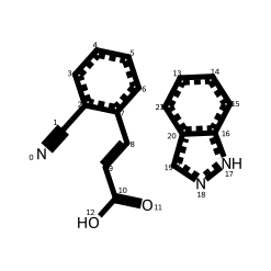 N#Cc1ccccc1/C=C/C(=O)O.c1ccc2[nH]ncc2c1